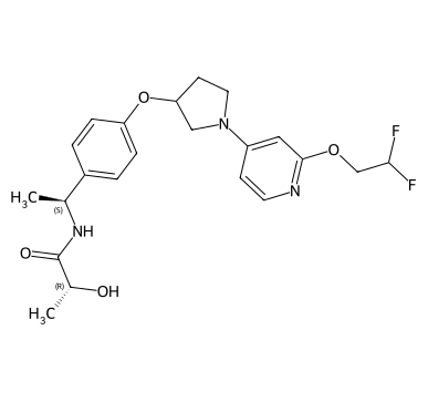 C[C@H](NC(=O)[C@@H](C)O)c1ccc(OC2CCN(c3ccnc(OCC(F)F)c3)C2)cc1